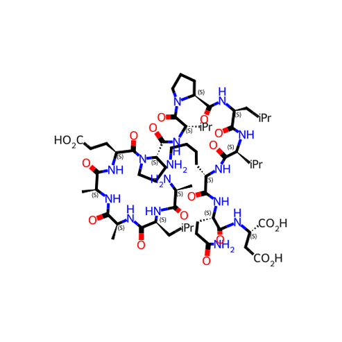 CC(C)C[C@H](NC(=O)[C@H](C)N)C(=O)N[C@@H](C)C(=O)N[C@@H](C)C(=O)N[C@@H](CCC(=O)O)C(=O)N1CCC[C@H]1C(=O)N[C@H](C(=O)N1CCC[C@H]1C(=O)N[C@@H](CC(C)C)C(=O)N[C@H](C(=O)N[C@@H](CCCCN)C(=O)N[C@@H](CCC(N)=O)C(=O)N[C@@H](CC(=O)O)C(=O)O)C(C)C)C(C)C